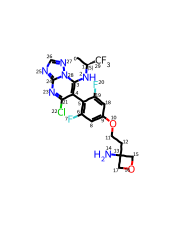 C[C@H](Nc1c(-c2c(F)cc(OCCC3(N)COC3)cc2F)c(Cl)nc2ncnn12)C(F)(F)F